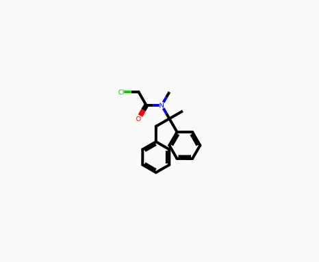 CN(C(=O)CCl)C(C)(Cc1ccccc1)c1ccccc1